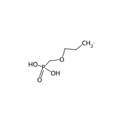 [CH2]CCOCP(=O)(O)O